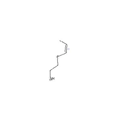 C/C=C\[P]CCCCC